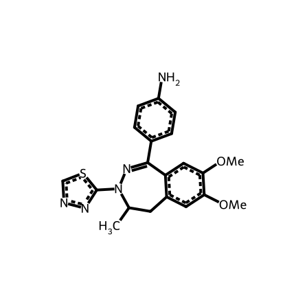 COc1cc2c(cc1OC)C(c1ccc(N)cc1)=NN(c1nncs1)C(C)C2